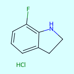 Cl.Fc1cccc2c1NCC2